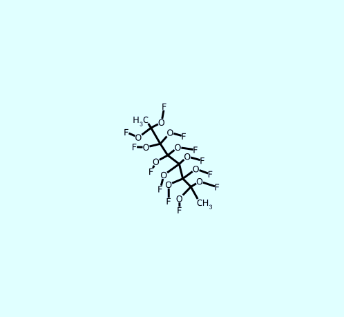 CC(OF)(OF)C(OF)(OF)C(OF)(OF)C(OF)(OF)C(OF)(OF)C(C)(OF)OF